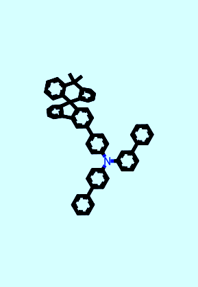 CC1(C)c2ccccc2C2(c3ccccc3-c3cc(-c4ccc(N(c5ccc(-c6ccccc6)cc5)c5cccc(-c6ccccc6)c5)cc4)ccc32)c2ccccc21